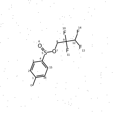 Cc1ccc(S(=O)OCC(F)(F)C(F)F)cc1